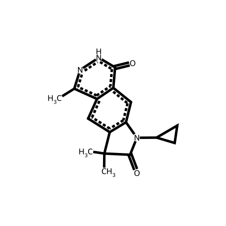 Cc1n[nH]c(=O)c2cc3c(cc12)C(C)(C)C(=O)N3C1CC1